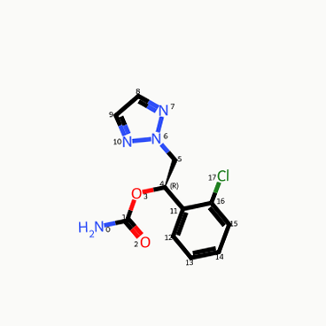 NC(=O)O[C@@H](Cn1nccn1)c1ccccc1Cl